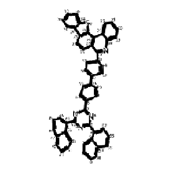 c1ccc2c(-c3nc(-c4ccc(-c5ccc(-c6nc7ccccc7c7c6ccc6c8ccccc8sc67)cc5)cc4)nc(-c4cccc5ccccc45)n3)cccc2c1